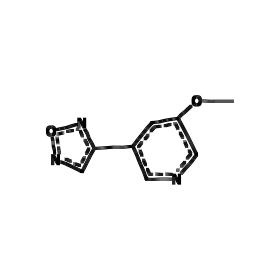 COc1cncc(-c2cnon2)c1